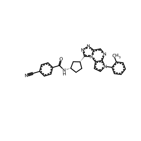 Cc1ccccc1-n1ccc2c1ncc1nnc([C@@H]3CC[C@H](NC(=O)c4ccc(C#N)cc4)C3)n12